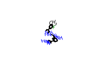 Cc1cc(F)cc(-c2ccnc3[nH]c(-c4n[nH]c5ccc(-c6cn[nH]c6)cc45)nc23)c1